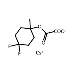 CC1(OC(=O)C(=O)[O-])CCC(F)(F)CC1.[Cs+]